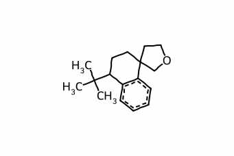 CC(C)(C)C1CCC2(CCOC2)c2ccccc21